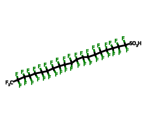 O=S(=O)(O)C(F)(F)C(F)(F)C(F)(F)C(F)(F)C(F)(F)C(F)(F)C(F)(F)C(F)(F)C(F)(F)C(F)(F)C(F)(F)C(F)(F)C(F)(F)C(F)(F)C(F)(F)C(F)(F)C(F)(F)C(F)(F)C(F)(F)C(F)(F)F